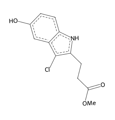 COC(=O)CCc1[nH]c2ccc(O)cc2c1Cl